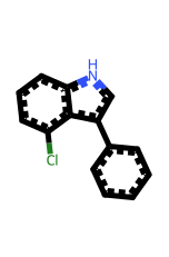 Clc1cccc2[nH]cc(-c3ccccc3)c12